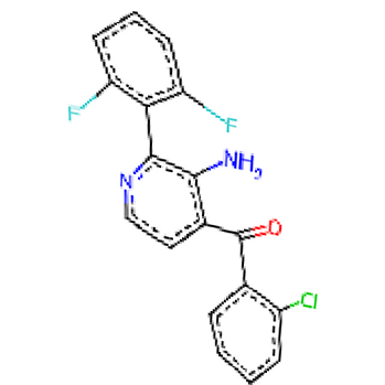 Nc1c(C(=O)c2ccccc2Cl)ccnc1-c1c(F)cccc1F